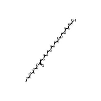 CSCSCSCOC(=O)CSCSCSCSCCOOCSCCSCO